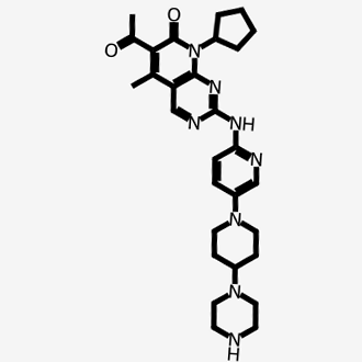 CC(=O)c1c(C)c2cnc(Nc3ccc(N4CCC(N5CCNCC5)CC4)cn3)nc2n(C2CCCC2)c1=O